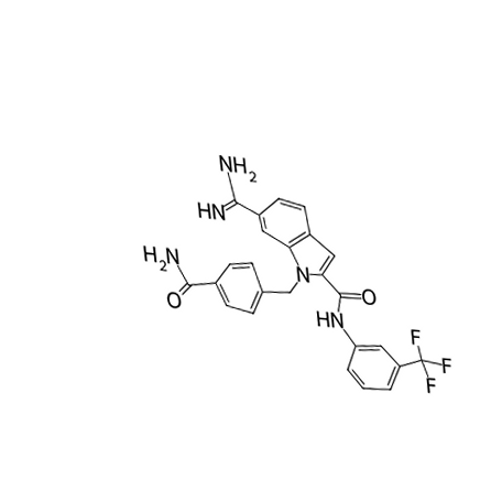 N=C(N)c1ccc2cc(C(=O)Nc3cccc(C(F)(F)F)c3)n(Cc3ccc(C(N)=O)cc3)c2c1